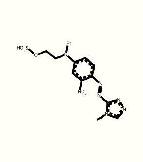 CCN(CCOS(=O)(=O)O)c1ccc(N=Nc2nncn2C)c([N+](=O)[O-])c1